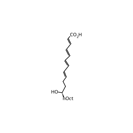 CCCCCCCC[C@@H](O)CCC=CC=CC=CC=CC(=O)O